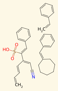 C(=C1CCCCCC1)c1ccccc1.C=CC=CC(=CC#N)C(=Cc1ccccc1)S(=O)(=O)O.C=Cc1ccccc1